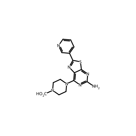 Nc1nc(N2CCN(C(=O)O)CC2)c2nc(-c3cccnc3)sc2n1